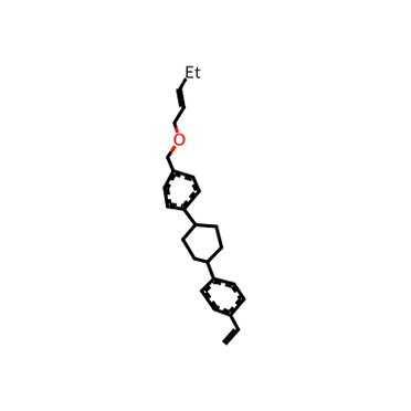 C=Cc1ccc(C2CCC(c3ccc(COCC=CCC)cc3)CC2)cc1